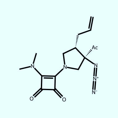 C=CC[C@H]1CN(c2c(N(C)C)c(=O)c2=O)C[C@@]1(N=[N+]=[N-])C(C)=O